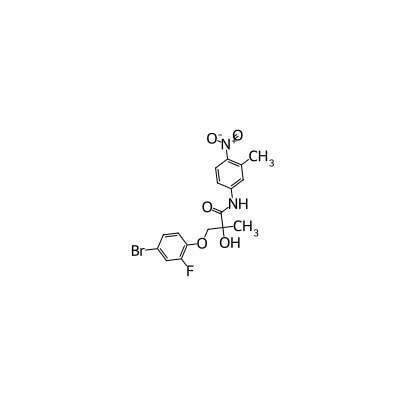 Cc1cc(NC(=O)C(C)(O)COc2ccc(Br)cc2F)ccc1[N+](=O)[O-]